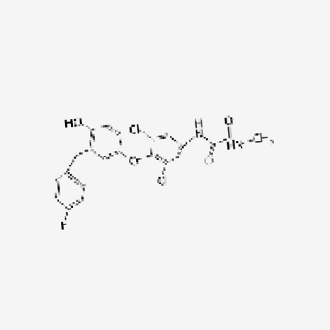 CNC(=O)C(=O)Nc1cc(Cl)c(Oc2ccc(O)c(Cc3ccc(F)cc3)c2)c(Cl)c1